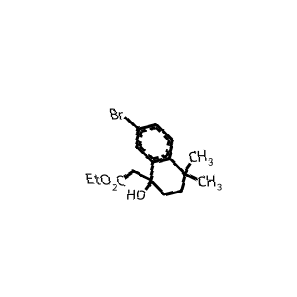 CCOC(=O)CC1(O)CCC(C)(C)c2ccc(Br)cc21